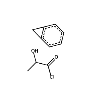 CC(O)C(=O)Cl.c1ccc2c(c1)C2